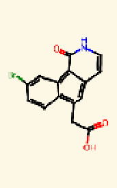 O=C(O)Cc1cc2cc[nH]c(=O)c2c2cc(Br)ccc12